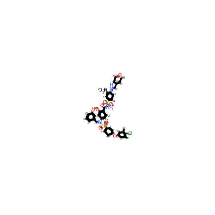 Cc1cc(Oc2ccc(S(=O)(=O)N(Cc3ccccc3)c3ccc(C(=O)NS(=O)(=O)c4ccc(NCC5CCOCC5)c([N+](=O)[O-])c4)c(O)c3)cc2)cc(C)c1Cl